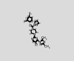 Cc1nc(C)n(-c2nc(N3CCN(C(=O)N4N=CC[C@H]4c4cc(F)cc(F)c4)CC3)ncc2Cl)n1